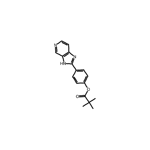 CC(C)(C)C(=O)Oc1ccc(-c2nc3ccncc3[nH]2)cc1